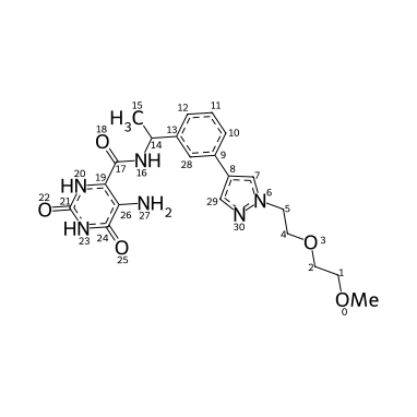 COCCOCCn1cc(-c2cccc(C(C)NC(=O)c3[nH]c(=O)[nH]c(=O)c3N)c2)cn1